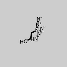 [N-]=[N+]=N.[N-]=[N+]=NCCO